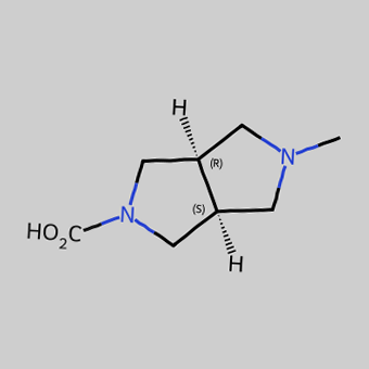 CN1C[C@@H]2CN(C(=O)O)C[C@@H]2C1